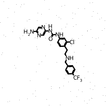 Nc1cnc(NC(=O)Nc2ccc(CCNCc3ccc(C(F)(F)F)cc3)c(Cl)c2)cn1